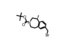 C[C@@H]1CN(C(=O)OC(C)(C)C)CCc2cc(CBr)ccc21